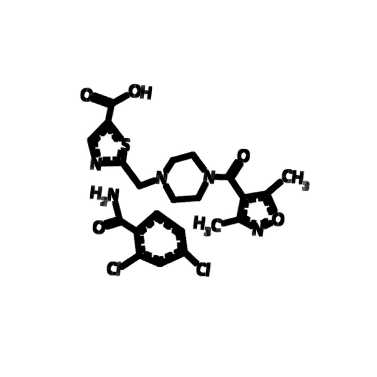 Cc1noc(C)c1C(=O)N1CCN(Cc2ncc(C(=O)O)s2)CC1.NC(=O)c1ccc(Cl)cc1Cl